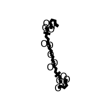 C=C1CCC(=O)N1OC(=O)C(C)(C)CCC(=O)OCCOCCOC(=O)CCC(C)(C)C(=O)ON1C(=O)CCC1=O